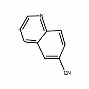 N#Cc1ccc2nc[c]cc2c1